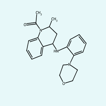 CC(=O)N1c2ccccc2C(Nc2ccccc2N2CCOCC2)CC1C